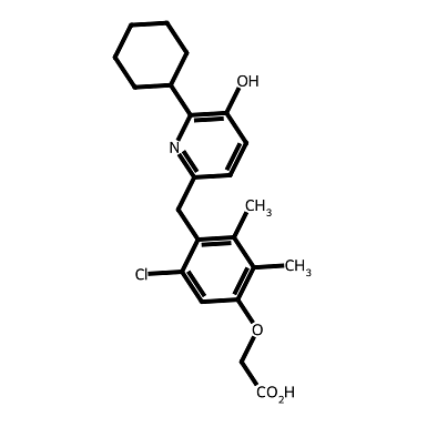 Cc1c(OCC(=O)O)cc(Cl)c(Cc2ccc(O)c(C3CCCCC3)n2)c1C